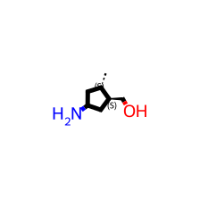 C[C@H]1CC(N)C[C@@H]1CO